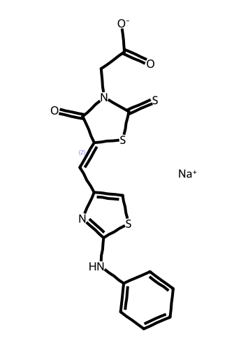 O=C([O-])CN1C(=O)/C(=C/c2csc(Nc3ccccc3)n2)SC1=S.[Na+]